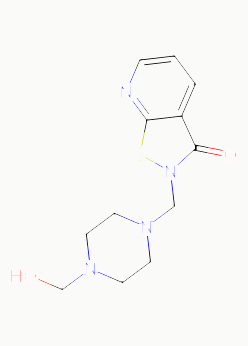 O=c1c2cccnc2sn1CN1CCN(CO)CC1